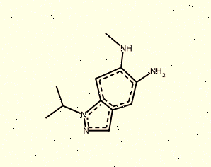 CNc1cc2c(cnn2C(C)C)cc1N